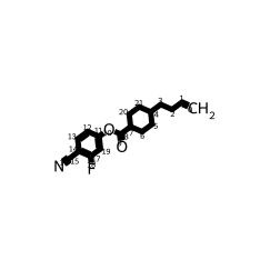 C=CCCC1CCC(C(=O)Oc2ccc(C#N)c(F)c2)CC1